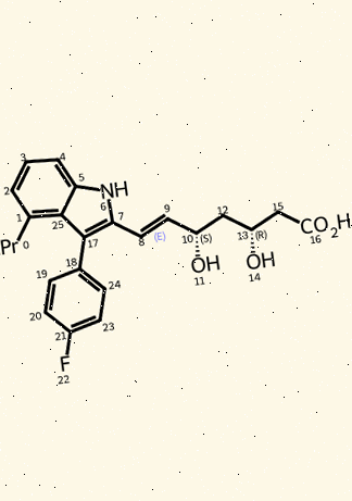 CC(C)c1cccc2[nH]c(/C=C/[C@@H](O)C[C@@H](O)CC(=O)O)c(-c3ccc(F)cc3)c12